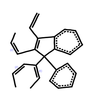 C=CC1=C(/C=C\C)C(C(/C=C\C)=C/C)(c2ccccc2)c2ccccc21